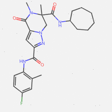 Cc1cc(F)ccc1NC(=O)c1cc2n(n1)CC(C)(C(=O)NC1CCCCCC1)N(C)C2=O